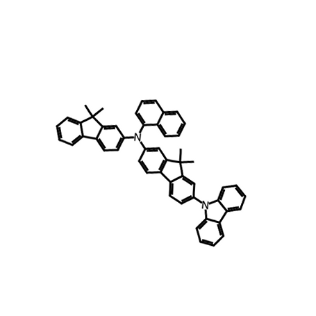 CC1(C)c2ccccc2-c2ccc(N(c3ccc4c(c3)C(C)(C)c3cc(-n5c6ccccc6c6ccccc65)ccc3-4)c3cccc4ccccc34)cc21